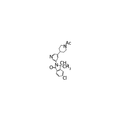 CC(=O)N1CCC(c2cncc(N3C(=O)c4ccc(Cl)cc4C3(C)C)c2)CC1